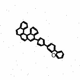 c1ccc2c(c1)ccc1ccc3cc(-c4ccc(-c5ccc6c(c5)oc5ccccc56)cc4)c4ccccc4c3c12